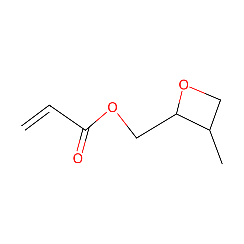 C=CC(=O)OCC1OCC1C